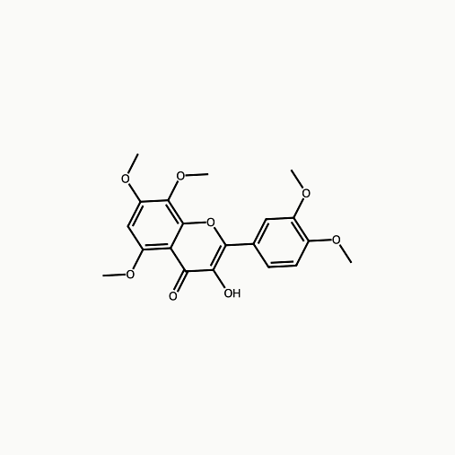 COc1ccc(-c2oc3c(OC)c(OC)cc(OC)c3c(=O)c2O)cc1OC